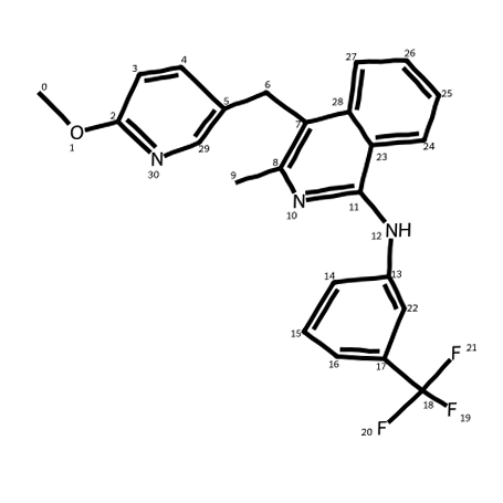 COc1ccc(Cc2c(C)nc(Nc3cccc(C(F)(F)F)c3)c3ccccc23)cn1